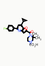 CC1(C)CN(C(=O)O)CCN1C(=O)c1cc2nc(-c3ccc(F)cc3)cc(C3CC3)c2o1